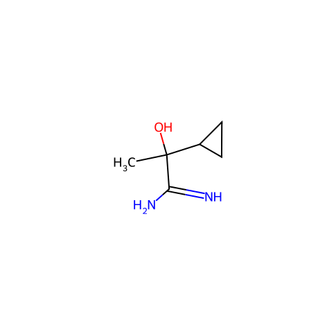 CC(O)(C(=N)N)C1CC1